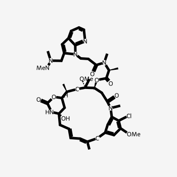 CNN(C)Cc1cc2cccnc2n1CCC(=O)N(C)[C@@H](C)C(=O)O[C@H]1CC(=O)N(C)c2cc(cc(OC)c2Cl)C/C(C)=C/C=C/C[C@@]2(O)C[C@H](OC(=O)N2)[C@@H](C)C[C@]1(C)OC